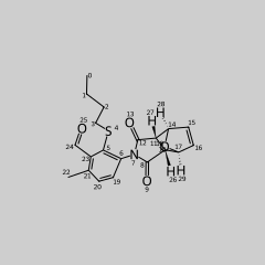 CCCCSc1c(N2C(=O)[C@@H]3[C@H](C2=O)[C@H]2C=C[C@@H]3O2)ccc(C)c1C=O